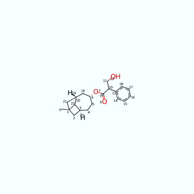 CC12C[C@@H]3CC[C@@H](OC(=O)C(CO)c4ccccc4)C[C@@H](C1)C32